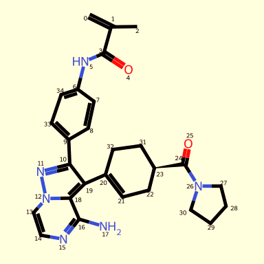 C=C(C)C(=O)Nc1ccc(-c2nn3ccnc(N)c3c2C2=CC[C@H](C(=O)N3CCCC3)CC2)cc1